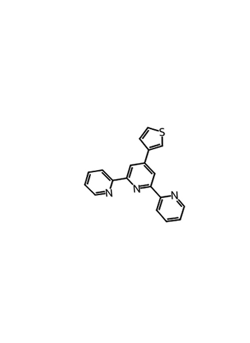 c1ccc(-c2cc(-c3ccsc3)cc(-c3ccccn3)n2)nc1